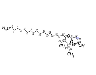 CCCCCCCCCCCCCCCCCCC(OC(=O)/C=C\C(=O)O)C(CC)CCCC